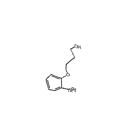 CCCc1ccccc1OCCCO